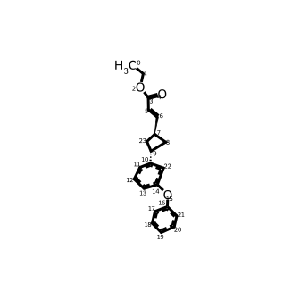 CCOC(=O)/C=C/[C@H]1C[C@H](c2cccc(Oc3ccccc3)c2)C1